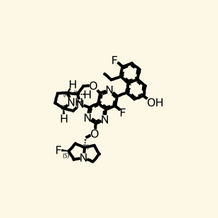 CCc1c(F)ccc2cc(O)cc(-c3nc4c5c(nc(OC[C@]67CCCN6C[C@@H](F)C7)nc5c3F)N3C[C@@H]5CC[C@@H](N5)[C@H]3CO4)c12